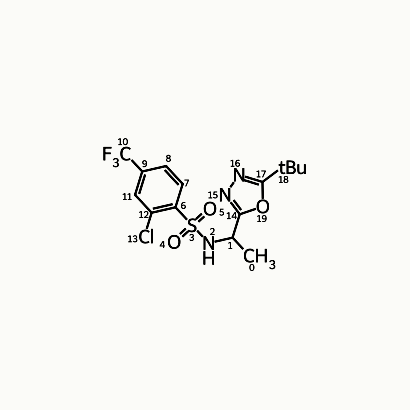 CC(NS(=O)(=O)c1ccc(C(F)(F)F)cc1Cl)c1nnc(C(C)(C)C)o1